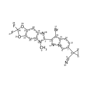 Cn1c(-c2nn3cc(C4(C#N)CC4)ccc3c2Br)nc2cc3c(cc21)OC(F)(F)O3